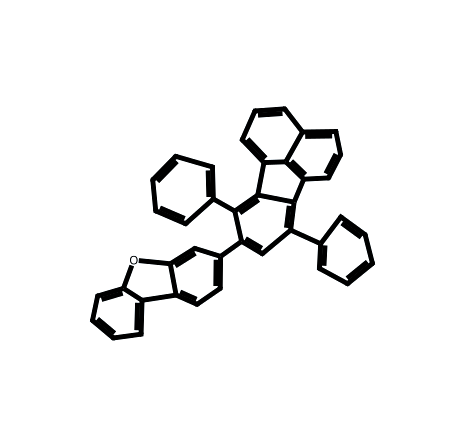 c1ccc(-c2cc(-c3ccc4c(c3)oc3ccccc34)c(-c3ccccc3)c3c2-c2cccc4cccc-3c24)cc1